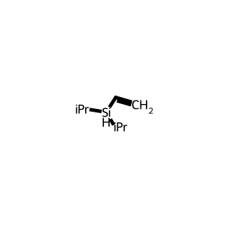 C=C[SiH](C(C)C)C(C)C